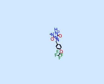 CN(C)C(=O)N(N=Cc1ccc(OC(F)(F)C(F)F)cc1)C(N)=O